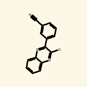 N#Cc1cccc(-c2nc3ccccc3nc2Cl)c1